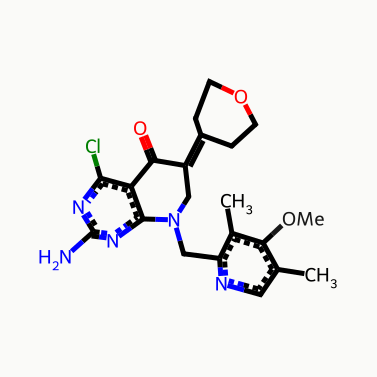 COc1c(C)cnc(CN2CC(=C3CCOCC3)C(=O)c3c(Cl)nc(N)nc32)c1C